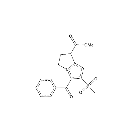 COC(=O)C1CCn2c1cc(S(C)(=O)=O)c2C(=O)c1ccccc1